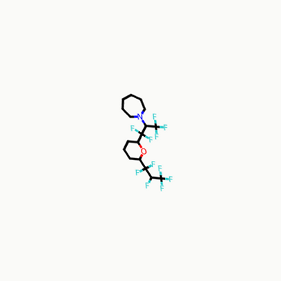 FC(C(F)(F)F)C(F)(F)C1CCCC(C(F)(F)C(N2CCCCCC2)C(F)(F)F)O1